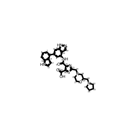 O=C(Nc1cc(-c2cccc3[nH]ccc23)cc2[nH]ncc12)c1nc(CN2CCOC(CN3CCCC3)C2)sc1C(=O)O